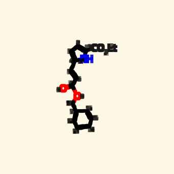 CCOC(=O)c1ccc(C=CC(=O)OCc2ccccc2)[nH]1